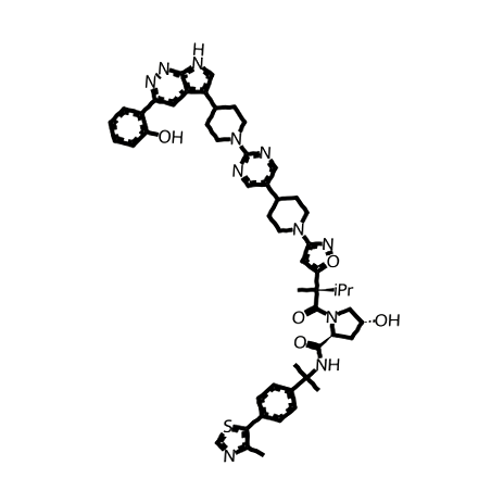 Cc1ncsc1-c1ccc(C(C)(C)NC(=O)[C@@H]2C[C@@H](O)CN2C(=O)[C@](C)(c2cc(N3CCC(c4cnc(N5CCC(c6c[nH]c7nnc(-c8ccccc8O)cc67)CC5)nc4)CC3)no2)C(C)C)cc1